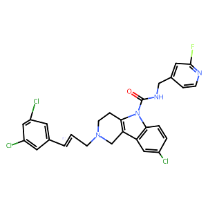 O=C(NCc1ccnc(F)c1)n1c2c(c3cc(Cl)ccc31)CN(C/C=C/c1cc(Cl)cc(Cl)c1)CC2